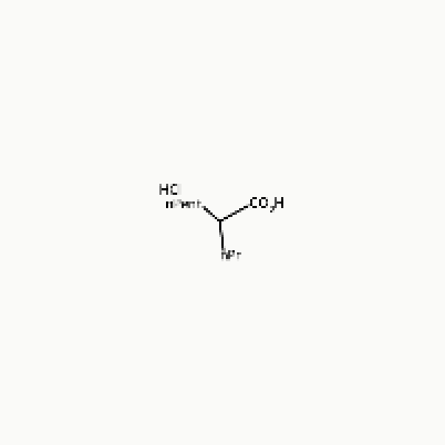 CCCCCC(CCC)C(=O)O.Cl